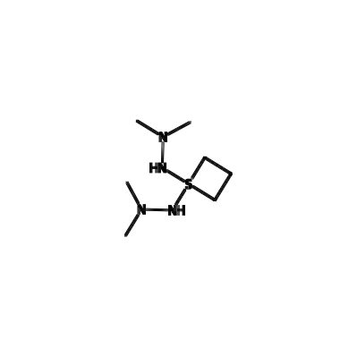 CN(C)NS1(NN(C)C)CCC1